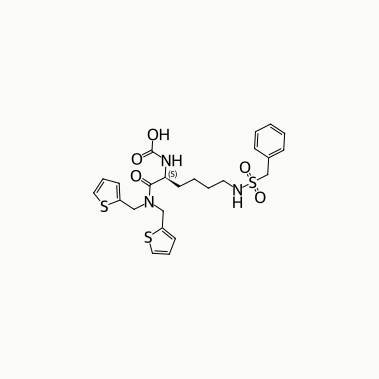 O=C(O)N[C@@H](CCCCNS(=O)(=O)Cc1ccccc1)C(=O)N(Cc1cccs1)Cc1cccs1